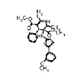 COC(=O)C1=C(C)NC(C)C(Nc2nc(-c3cccc(OC)c3)cs2)(C(=O)OC)C1c1ccccc1